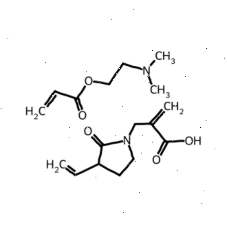 C=CC(=O)OCCN(C)C.C=CC1CCN(CC(=C)C(=O)O)C1=O